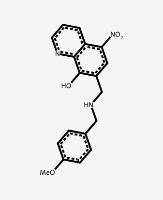 COc1ccc(CNCc2cc([N+](=O)[O-])c3cccnc3c2O)cc1